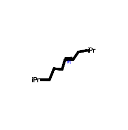 CC(C)C/C=C/CCCC(C)C